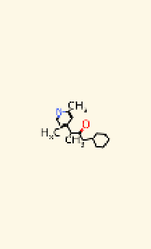 Cc1cc(C(C)C(=O)CC2CCCCC2)c(C)cn1